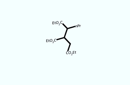 CCCC(C(=O)OCC)C(CC(=O)OCC)C(=O)OCC